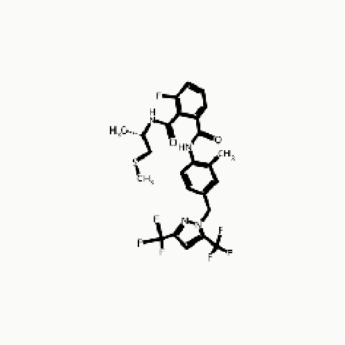 CSC[C@H](C)NC(=O)c1c(F)cccc1C(=O)Nc1ccc(Cn2nc(C(F)(F)F)cc2C(F)(F)F)cc1C